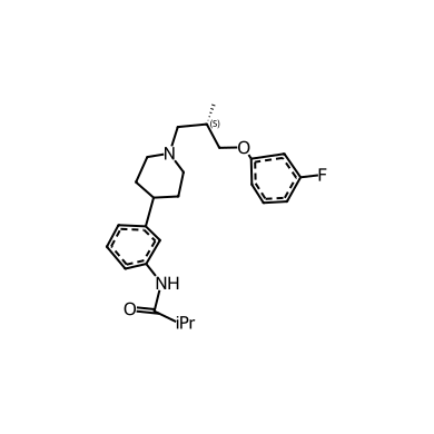 CC(C)C(=O)Nc1cccc(C2CCN(C[C@H](C)COc3cccc(F)c3)CC2)c1